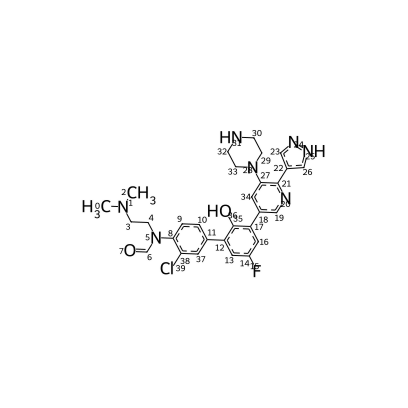 CN(C)CCN(C=O)c1ccc(-c2cc(F)cc(-c3cnc(-c4cn[nH]c4)c(N4CCNCC4)c3)c2O)cc1Cl